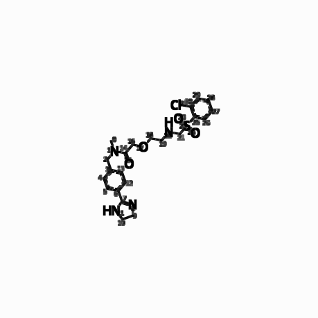 CN(Cc1ccc(C2=NCCN2)cc1)C(=O)COCCNCS(=O)(=O)c1ccccc1Cl